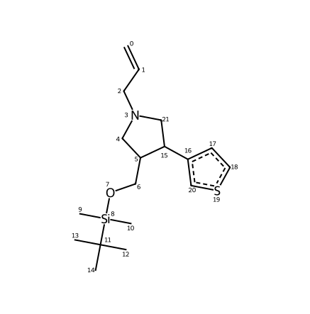 C=CCN1CC(CO[Si](C)(C)C(C)(C)C)C(c2ccsc2)C1